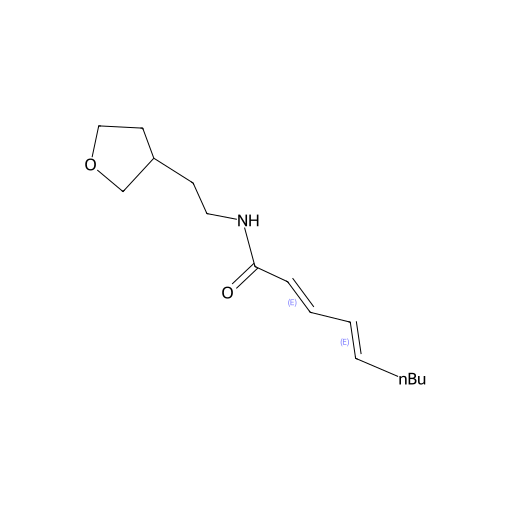 CCCC/C=C/C=C/C(=O)NCCC1CCOC1